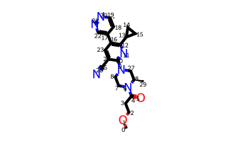 COCCC(=O)N1CCN(c2nc(C3CC3)c(-c3c[c]nnc3)cc2C#N)C[C@H]1C